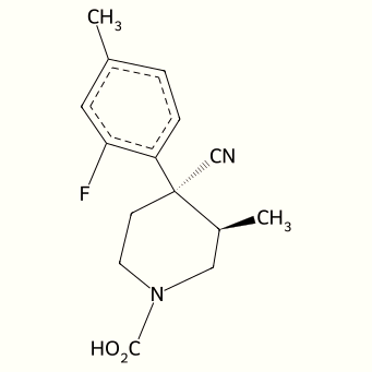 Cc1ccc([C@]2(C#N)CCN(C(=O)O)C[C@@H]2C)c(F)c1